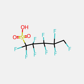 O=S(=O)(O)C(F)(F)C(F)(F)C(F)(F)C(F)(F)CF